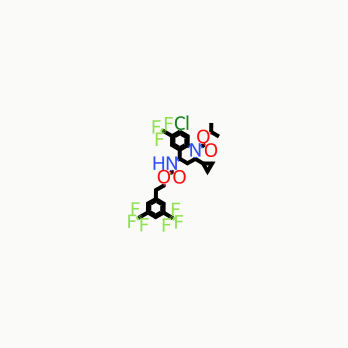 CC(C)OC(=O)N1c2cc(Cl)c(C(F)(F)F)cc2C(NC(=O)OCCc2cc(C(F)(F)F)cc(C(F)(F)F)c2)CC1C1CC1